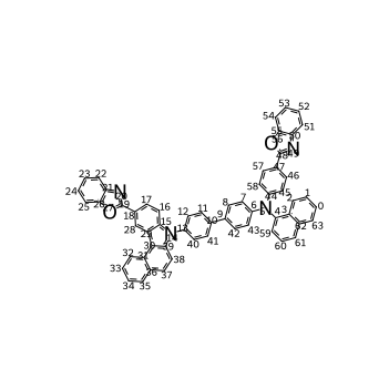 c1ccc2c(N(c3ccc(-c4ccc(-n5c6ccc(-c7nc8ccccc8o7)cc6c6c7ccccc7ccc65)cc4)cc3)c3ccc(-c4nc5ccccc5o4)cc3)cccc2c1